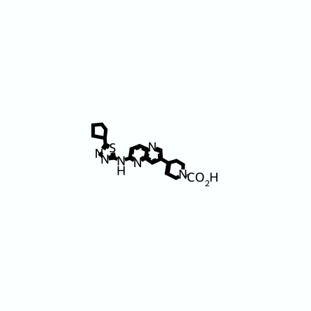 O=C(O)N1CC=C(c2cnc3ccc(Nc4nnc(C5CCCC5)s4)nc3c2)CC1